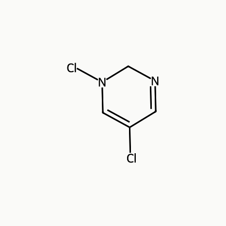 ClC1=CN(Cl)CN=C1